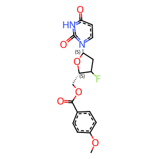 COc1ccc(C(=O)OC[C@@H]2O[C@H](n3ccc(=O)[nH]c3=O)CC2F)cc1